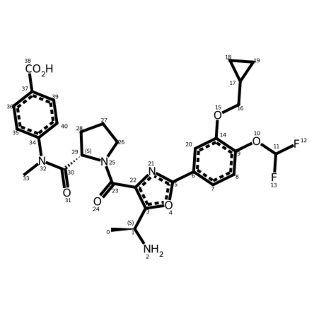 C[C@H](N)c1oc(-c2ccc(OC(F)F)c(OCC3CC3)c2)nc1C(=O)N1CCC[C@H]1C(=O)N(C)c1ccc(C(=O)O)cc1